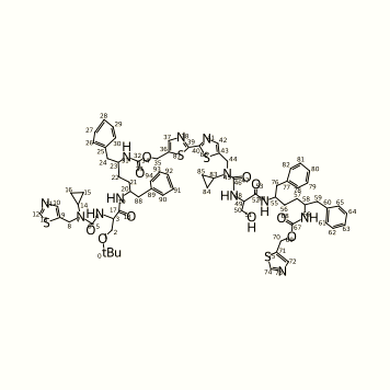 CC(C)(C)OCC(NC(=O)N(Cc1cncs1)C1CC1)C(=O)NC(CCC(Cc1ccccc1)NC(=O)OCc1cnc(-c2ncc(CN(C(=O)NC(CO)C(=O)NC(CCC(Cc3ccccc3)NC(=O)OCc3cncs3)Cc3ccccc3)C3CC3)s2)s1)Cc1ccccc1